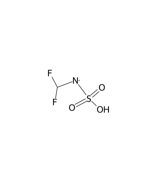 O=S(=O)(O)[N]C(F)F